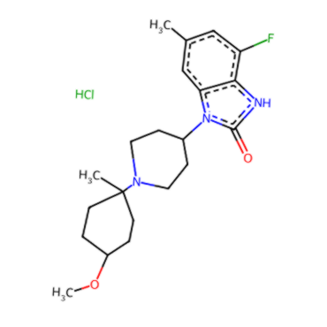 COC1CCC(C)(N2CCC(n3c(=O)[nH]c4c(F)cc(C)cc43)CC2)CC1.Cl